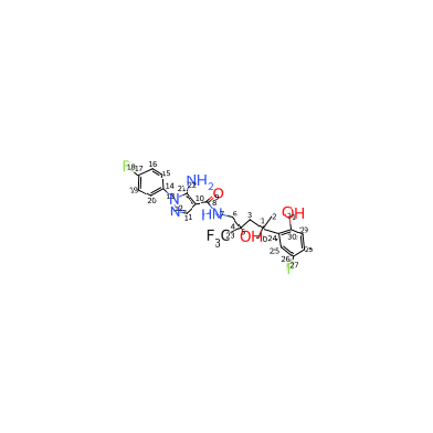 CC(C)(CC(O)(CNC(=O)c1cnn(-c2ccc(F)cc2)c1N)C(F)(F)F)c1cc(F)ccc1O